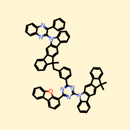 CC1(C)c2ccccc2-c2cc3c(cc21)c1ccccc1n3-c1nc(-c2cccc(CC3(C)c4ccccc4-c4cc5c(cc43)c3ccccc3n5-c3nc4ccccc4nc3-c3ccccc3)c2)nc(-c2cccc3c2oc2ccccc23)n1